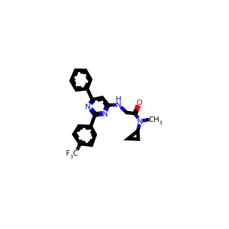 CN(C(=O)CNc1cc(-c2ccccc2)nc(-c2ccc(C(F)(F)F)cc2)n1)C1CC1